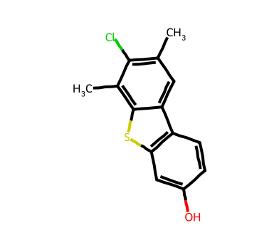 Cc1cc2c(sc3cc(O)ccc32)c(C)c1Cl